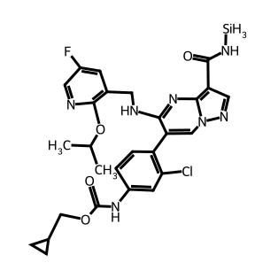 CC(C)Oc1ncc(F)cc1CNc1nc2c(C(=O)N[SiH3])cnn2cc1-c1ccc(NC(=O)OCC2CC2)cc1Cl